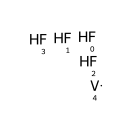 F.F.F.F.[V]